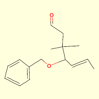 CC=CC(OCc1ccccc1)C(C)(C)CC=O